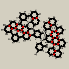 Fc1ccc(N2c3cc4c(cc3B3c5ccccc5N(c5c(-c6ccccc6)cccc5-c5ccccc5)c5cc(N(c6ccccc6)c6c(-c7ccccc7)cccc6-c6ccccc6)cc2c53)B2c3ccccc3N(c3c(-c5ccccc5)cccc3-c3ccccc3)c3cc(N(c5ccccc5)c5c(-c6ccccc6)cccc5-c5ccccc5)cc(c32)S4)c(F)c1